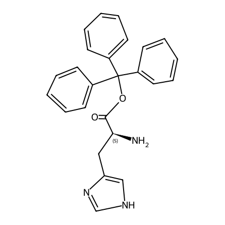 N[C@@H](Cc1c[nH]cn1)C(=O)OC(c1ccccc1)(c1ccccc1)c1ccccc1